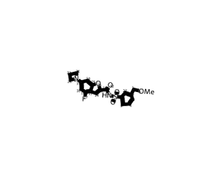 COCc1cccc(S(=O)(=O)NC(=O)c2cc3c(F)cc(N4CCC4)cc3o2)c1